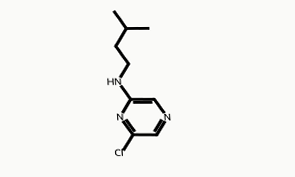 CC(C)CCNc1cncc(Cl)n1